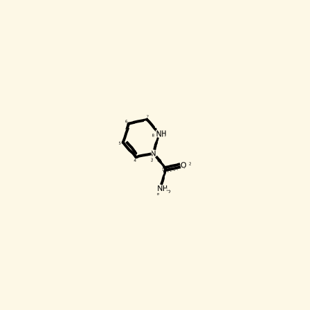 NC(=O)N1C=CCCN1